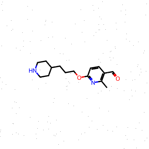 Cc1nc(OCCCC2CCNCC2)ccc1C=O